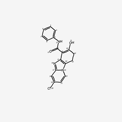 O=C(Nc1ccccc1)C1=C(O)CCc2c1nc1cc(Cl)ccn21